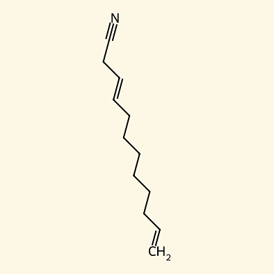 C=CCCCCCC/C=C/CC#N